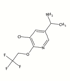 CC(N)c1cnc(OCC(F)(F)F)c(Cl)c1